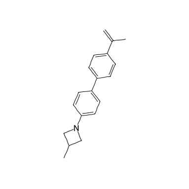 C=C(C)c1ccc(-c2ccc(N3CC(C)C3)cc2)cc1